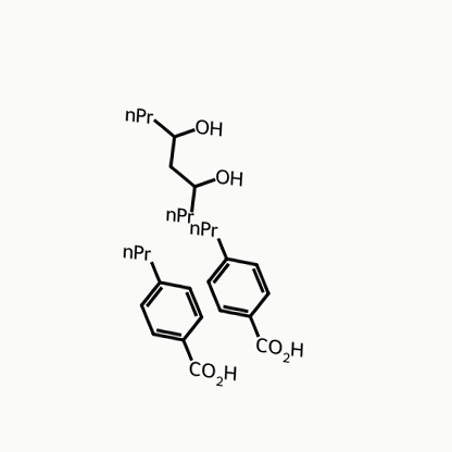 CCCC(O)CC(O)CCC.CCCc1ccc(C(=O)O)cc1.CCCc1ccc(C(=O)O)cc1